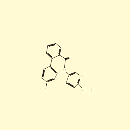 O=C(O)c1ccc(NC(=O)c2ccccc2-c2ccc(F)cc2)cn1